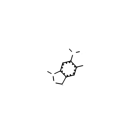 C[S+]([O-])c1cc2c(cc1Cl)COB2O